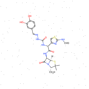 CC1(C)S[C@@H]2[C@H](NC(=O)C(NC(=O)NN=Cc3ccc(O)c(O)c3)c3csc(NC=O)n3)C(=O)N2[C@H]1C(=O)O